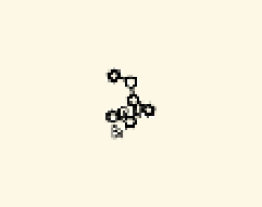 Brc1ccc(-n2c3ccccc3c3cc(-c4cccc(-c5ccccc5)c4)ccc32)c2oc3ccccc3c12